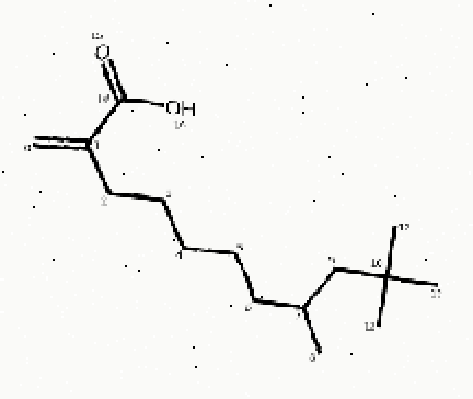 C=C(CCCCCC(C)CC(C)(C)C)C(=O)O